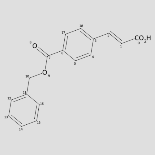 O=C(O)C=Cc1ccc(C(=O)OCc2ccccc2)cc1